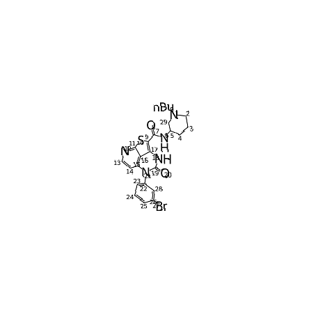 CCCCN1CCCC(NC(=O)c2sc3nccc4c3c2NC(=O)N4c2cccc(Br)c2)C1